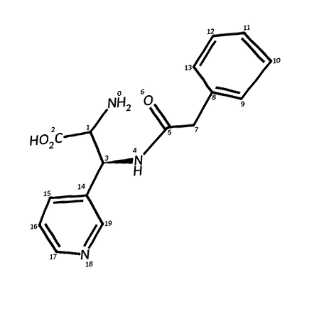 NC(C(=O)O)[C@@H](NC(=O)Cc1ccccc1)c1cccnc1